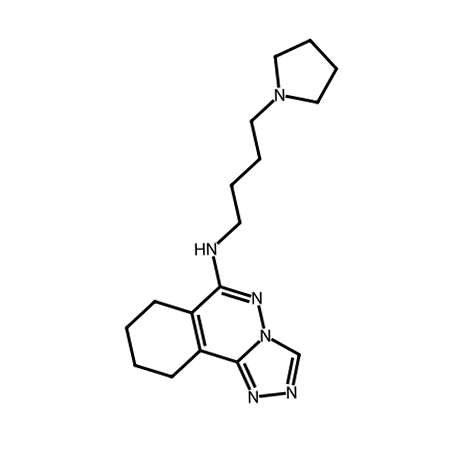 c1nnc2c3c(c(NCCCCN4CCCC4)nn12)CCCC3